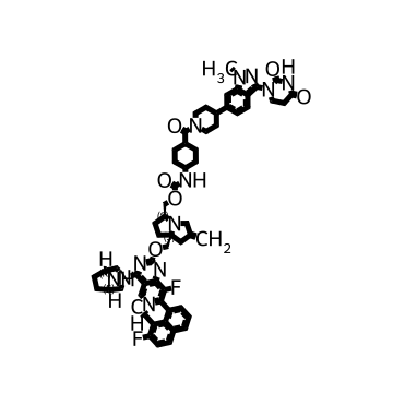 C#Cc1c(F)ccc2cccc(-c3ncc4c(N5C[C@H]6CC[C@@H](C5)N6)nc(OC[C@@]56CC[C@@H](COC(=O)NC7CCC(C(=O)N8CCC(c9ccc%10c(N%11CCC(=O)NC%11=O)nn(C)c%10c9)CC8)CC7)N5CC(=C)C6)nc4c3F)c12